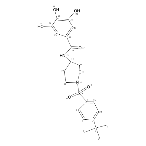 CC(C)(C)c1ccc(S(=O)(=O)N2CCC(NC(=O)c3cc(O)c(O)c(O)c3)CC2)cc1